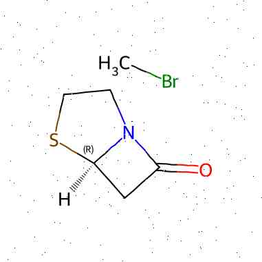 CBr.O=C1C[C@H]2SCCN12